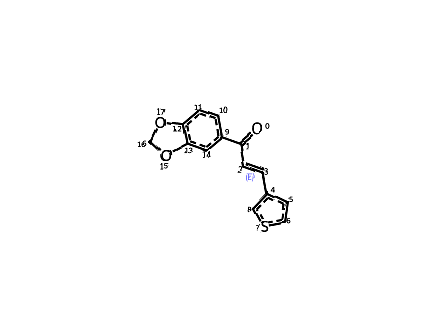 O=C(/C=C/c1ccsc1)c1ccc2c(c1)OCO2